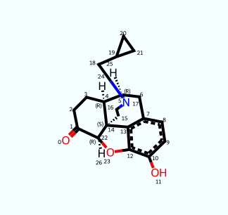 O=C1CC[C@H]2[C@H]3Cc4ccc(O)c5c4[C@@]2(CCN3CC2CC2)[C@H]1O5